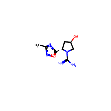 Cc1noc([C@@H]2C[C@@H](O)CN2C(=N)N)n1